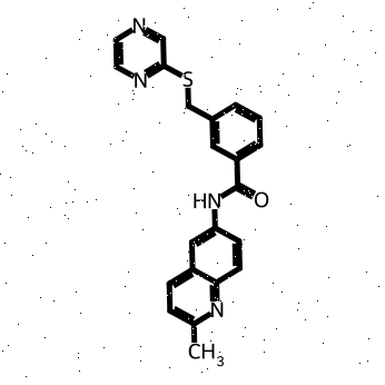 Cc1ccc2cc(NC(=O)c3cccc(CSc4cnccn4)c3)ccc2n1